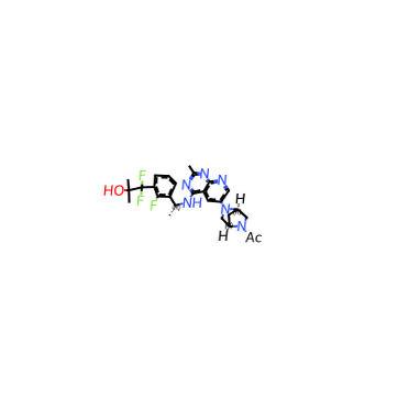 CC(=O)N1C[C@H]2C[C@@H]1CN2c1cnc2nc(C)nc(N[C@H](C)c3cccc(C(F)(F)C(C)(C)O)c3F)c2c1